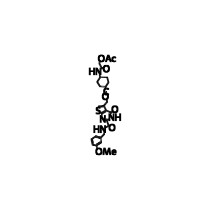 COc1cccc(CNC(=O)c2nc3scc(COCC4CCC(NC(=O)COC(C)=O)CC4)c3c(=O)[nH]2)c1